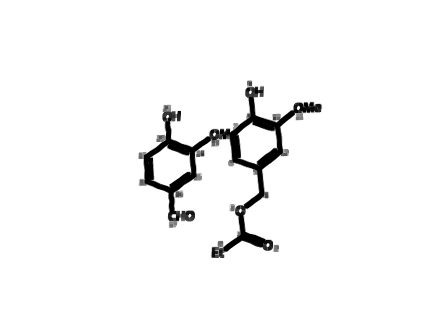 CCC(=O)OCc1ccc(O)c(OC)c1.COc1cc(C=O)ccc1O